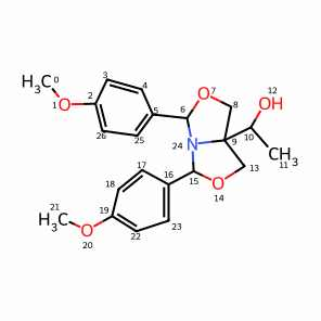 COc1ccc(C2OCC3(C(C)O)COC(c4ccc(OC)cc4)N23)cc1